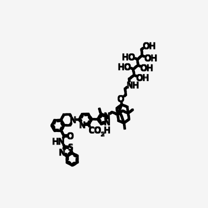 Cc1c(-c2ccc(N3CCc4cccc(C(=O)Nc5nc6ccccc6s5)c4C3)nc2C(=O)O)cnn1CC12CC3(C)CC(C)(C1)CC(OCCNCC(O)C(O)C(O)C(O)C(O)CO)(C3)C2